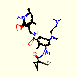 CCC1(C(=O)Nc2cc(N(C)CCN(C)C)cc(C(=O)NCc3c(C)cc(C)[nH]c3=O)c2C)CC1